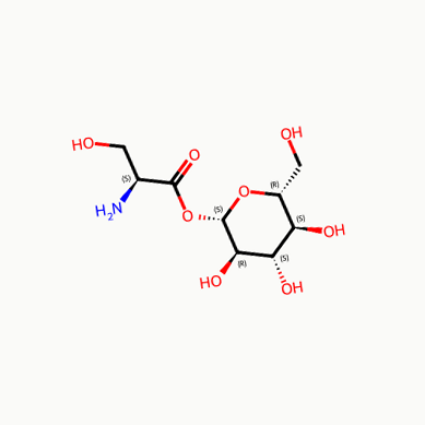 N[C@@H](CO)C(=O)O[C@@H]1O[C@H](CO)[C@@H](O)[C@H](O)[C@H]1O